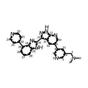 CN(C)Cc1cncc(-c2cnc3[nH]nc(-c4nc5c(-c6ccncc6)cccc5[nH]4)c3c2)c1